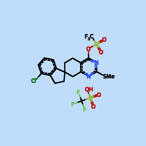 CSc1nc2c(c(OS(=O)(=O)C(F)(F)F)n1)CCC1(CCc3c(Cl)cccc31)C2.O=S(=O)(O)C(F)(F)F